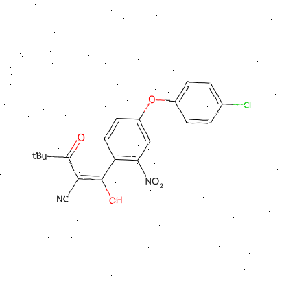 CC(C)(C)C(=O)C(C#N)=C(O)c1ccc(Oc2ccc(Cl)cc2)cc1[N+](=O)[O-]